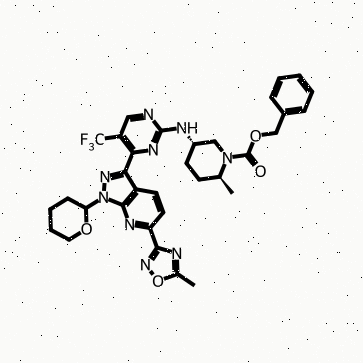 Cc1nc(-c2ccc3c(-c4nc(N[C@H]5CC[C@H](C)N(C(=O)OCc6ccccc6)C5)ncc4C(F)(F)F)nn(C4CCCCO4)c3n2)no1